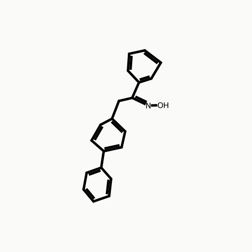 ON=C(Cc1ccc(-c2ccccc2)cc1)c1ccccc1